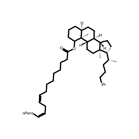 CCCCC/C=C\C/C=C\CCCCCCCC(=O)OC1CCC[C@H]2CC[C@H]3[C@@H]4CC[C@H]([C@H](C)CCCC(C)C)[C@@]4(C)CC[C@@H]3[C@@]12C